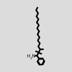 CCCCCCCCCCCCCCC(C)C(C)(C)C(N)c1ccccc1